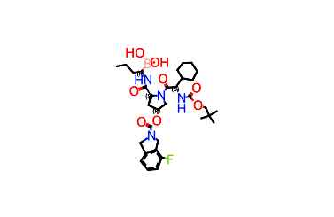 CCC[C@H](NC(=O)[C@@H]1C[C@@H](OC(=O)N2Cc3cccc(F)c3C2)CN1C(=O)[C@@H](NC(=O)OCC(C)(C)C)C1CCCCC1)B(O)O